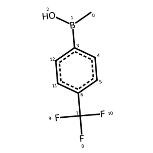 CB(O)c1ccc(C(F)(F)F)cc1